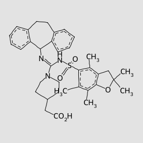 Cc1c(C)c(S(=O)(=O)NC(=NC2c3ccccc3CCc3ccccc32)N2CCC(CC(=O)O)CC2)c(C)c2c1OC(C)(C)C2